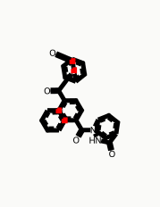 O=C1NN(C(=O)c2ccc(C(=O)N3NC(=O)c4ccc3cc4)c3c4ccc(cc4)c23)c2ccc1cc2